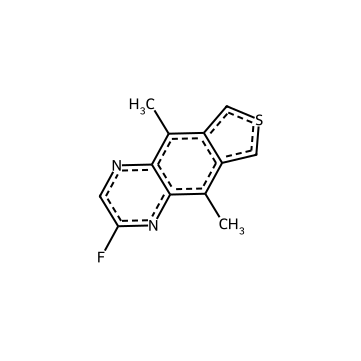 Cc1c2cscc2c(C)c2nc(F)cnc12